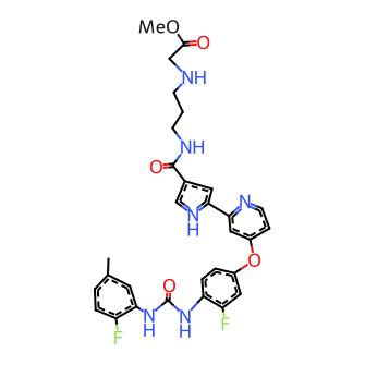 COC(=O)CNCCCNC(=O)c1c[nH]c(-c2cc(Oc3ccc(NC(=O)Nc4cc(C)ccc4F)c(F)c3)ccn2)c1